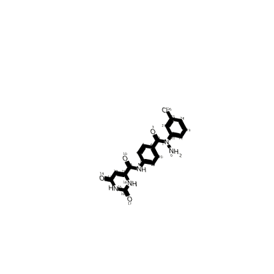 NN(C(=O)c1ccc(NC(=O)c2cc(=O)[nH]c(=O)[nH]2)cc1)c1cccc(Cl)c1